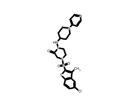 Cc1c(S(=O)(=O)N2CCN(NC3CCN(c4ccncc4)CC3)C(=O)C2)sc2ccc(Cl)cc12